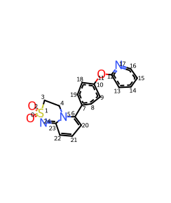 O=S1(=O)CCN2C(c3ccc(Oc4ccccn4)cc3)=CC=CC2=N1